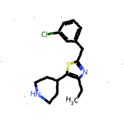 CCc1nc(Cc2cccc(Cl)c2)sc1C1CCNCC1